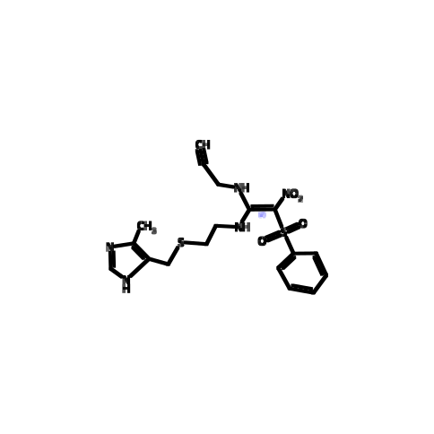 C#CCN/C(NCCSCc1[nH]cnc1C)=C(\[N+](=O)[O-])S(=O)(=O)c1ccccc1